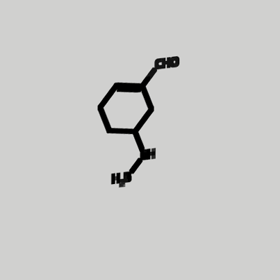 BBC1CCC=C(C=O)C1